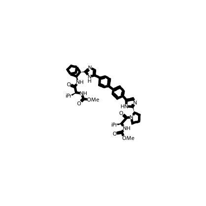 COC(=O)N[C@H](C(=O)N[C@H]1C2CCC(C2)[C@@H]1c1ncc(-c2ccc(-c3ccc(-c4cnc([C@@H]5CCCN5C(=O)[C@@H](NC(=O)OC)C(C)C)[nH]4)cc3)cc2)[nH]1)C(C)C